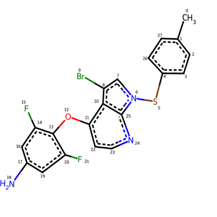 Cc1ccc(Sn2cc(Br)c3c(Oc4c(F)cc(N)cc4F)ccnc32)cc1